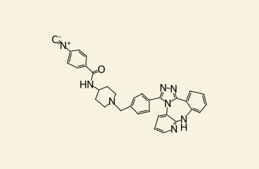 [C-]#[N+]c1ccc(C(=O)NC2CCN(Cc3ccc(-c4nnc5n4-c4cccnc4Nc4ccccc4-5)cc3)CC2)cc1